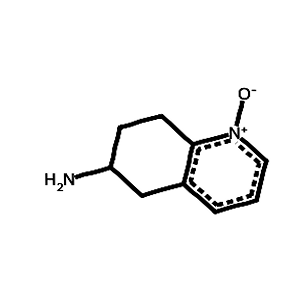 NC1CCc2c(ccc[n+]2[O-])C1